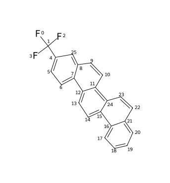 FC(F)(F)c1ccc2c(ccc3c2ccc2c4ccccc4ccc23)c1